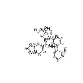 O=C(Nc1c(-c2ccccc2F)ccnc1N1CCC(P)(P)C1)N1CCn2nccc2C1